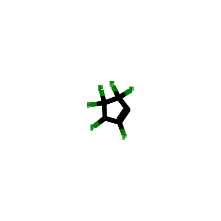 FC1=CC(F)(F)C(F)(F)C1F